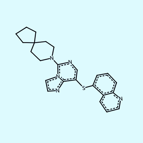 c1cc(Sc2cnc(N3CCC4(CCCC4)CC3)n3ccnc23)c2cccnc2c1